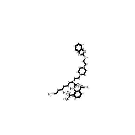 CCCCCCCN(CCN1CCN(CCSc2nc3ccccc3o2)CC1)C(=O)Nc1c(C(C)C)cccc1C(C)C